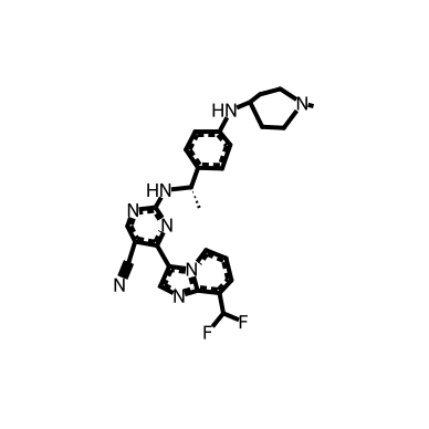 C[C@H](Nc1ncc(C#N)c(-c2cnc3c(C(F)F)cccn23)n1)c1ccc(NC2CCN(C)CC2)cc1